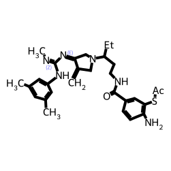 C=C1CN(C(CC)CCNC(=O)c2ccc(N)c(SC(C)=O)c2)C/C1=N/C(=N\C)Nc1cc(C)cc(C)c1